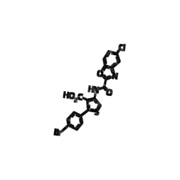 O=C(Nc1csc(-c2ccc(Br)cc2)c1C(=O)O)c1nc2cc(Cl)ccc2o1